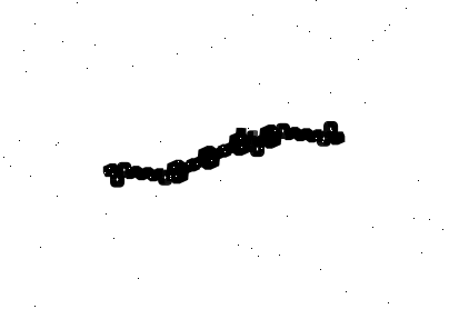 C=CC(=O)OCCCCCCOc1ccc(C#Cc2ccc(C#Cc3ccc(SC(=O)c4ccc(OCCCCCCOC(=O)C=C)cc4)c(C)c3)cc2)cc1